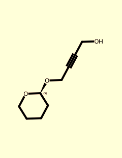 OCC#CCO[C@H]1CCCCO1